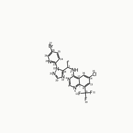 CC(Nc1ncnc2c(C(F)(F)F)cc(Cl)cc12)c1ncnn1-c1ccc(Br)cn1